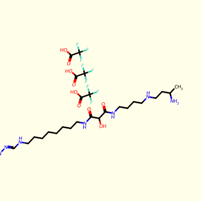 CC(N)CCNCCCCNC(=O)C(O)C(=O)NCCCCCCCCNC=NN.O=C(O)C(F)(F)F.O=C(O)C(F)(F)F.O=C(O)C(F)(F)F